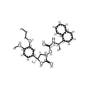 CCCOc1cc([C@@]2(C)CN(OC(=O)N[C@H](C)c3cccc4ccccc34)C(=O)O2)ccc1OC